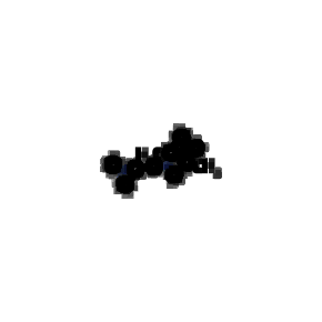 CC1C=CC=C(C2(c3ccccc3)C3=CC(N(c4ccccc4)c4ccc(C5=CC6c7ccccc7N(c7ccccc7)C6C=C5)cc4)C(C)C=C3c3ccccc32)C1